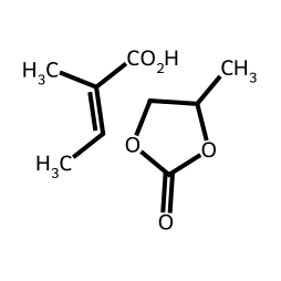 CC1COC(=O)O1.CC=C(C)C(=O)O